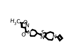 Cc1cc(C(=O)N2CCC(c3nc4c(s3)CCN(C3=CC=C3)CC4)CC2)no1